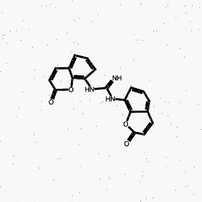 N=C(Nc1cccc2ccc(=O)oc12)Nc1cccc2ccc(=O)oc12